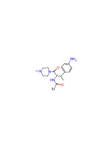 CCC(=O)NC(C(=O)N1CCN(C)CC1)C(C)c1ccc(N)cc1